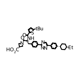 CC[C@H]1CC[C@H](c2ccc(-c3cnc(-c4ccc(C[C@H](NC(=O)c5ccc(C(C)(C)C)s5)C(=O)N5CC(C(=O)O)C5)cc4)nn3)cc2)CC1